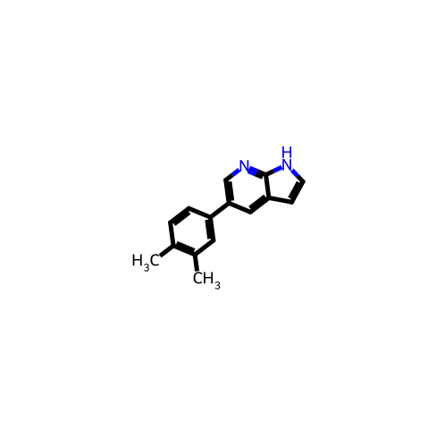 Cc1ccc(-c2cnc3[nH]ccc3c2)cc1C